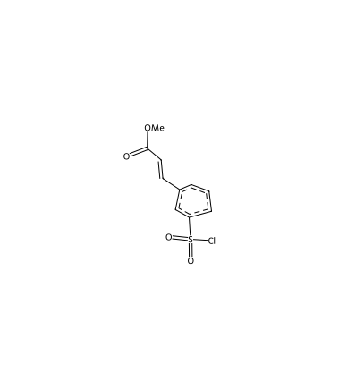 COC(=O)/C=C/c1cccc(S(=O)(=O)Cl)c1